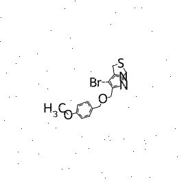 COc1ccc(COCc2nn3c(c2Br)CSC3)cc1